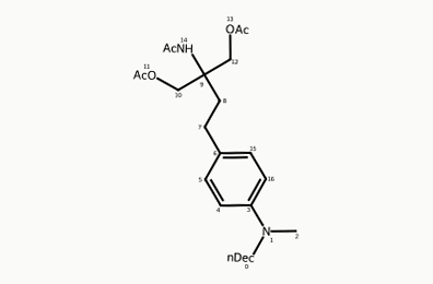 CCCCCCCCCCN(C)c1ccc(CCC(COC(C)=O)(COC(C)=O)NC(C)=O)cc1